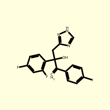 C=C(c1ccc(I)cc1)C(O)(Cc1nc[nH]n1)c1ccc(F)cc1F